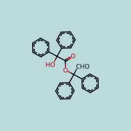 O=CC(OC(=O)C(O)(c1ccccc1)c1ccccc1)(c1ccccc1)c1ccccc1